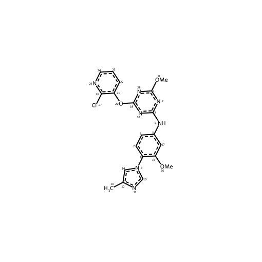 COc1nc(Nc2ccc(-n3cnc(C)c3)c(OC)c2)nc(Oc2cccnc2Cl)n1